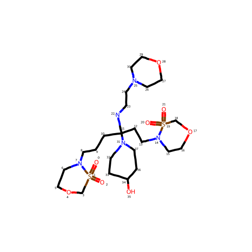 O=S1(=O)COCCN1CCCC(CCN1CCOCS1(=O)=O)([N]CCN1CCOCC1)N1CCC(O)CC1